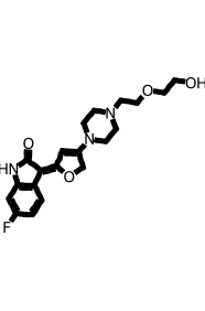 O=C1Nc2cc(F)ccc2C1=C1C=C(N2CCN(CCOCCO)CC2)CO1